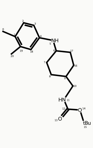 Cc1ccc(NC2CCC(CNC(=O)OC(C)(C)C)CC2)cc1C